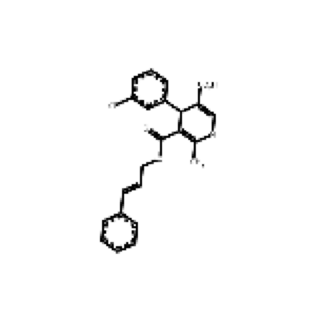 CC1=C(C(=O)OCC=Cc2ccccc2)C(c2cccc(Cl)c2)C(C(=O)O)=CN1